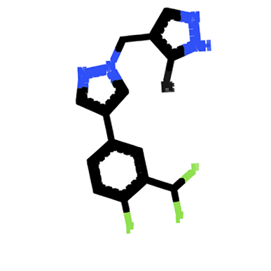 CCc1[nH]ncc1Cn1cc(-c2ccc(F)c(C(F)F)c2)cn1